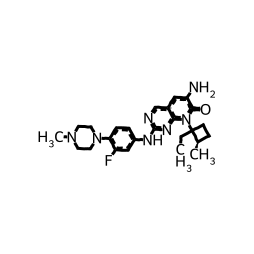 CCC1(n2c(=O)c(N)cc3cnc(Nc4ccc(N5CCN(C)CC5)c(F)c4)nc32)CC[C@H]1C